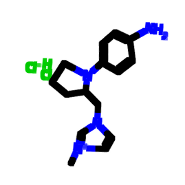 C[n+]1ccn(CC2CCCN2c2ccc(N)cc2)c1.Cl.[Cl-]